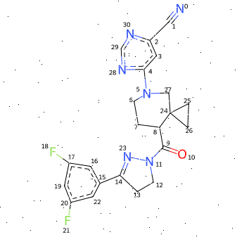 N#Cc1cc(N2CCC(C(=O)N3CCC(c4cc(F)cc(F)c4)=N3)C3(CC3)C2)ncn1